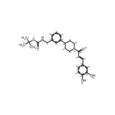 CC(C)(C)OC(=O)NCc1cccc(C2CCN(C(=O)C=Cc3ccc(O)c(O)c3)CC2)c1